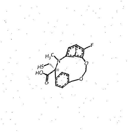 CN1c2ccc(F)c(c2F)OCOc2ccc(cc2)[C@@]1(CS)C(=O)O